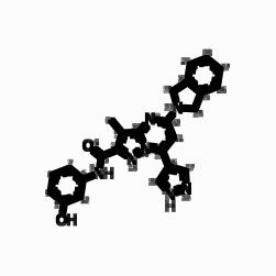 Cc1c(C(=O)Nc2cccc(O)c2)nn2c(-c3cn[nH]c3)cc(N3Cc4ccccc4C3)nc12